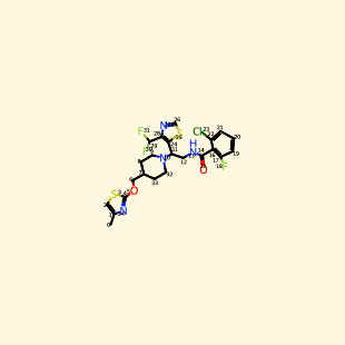 Cc1csc(OCC2CCN(C(CNC(=O)c3c(F)cccc3Cl)c3scnc3C(F)F)CC2)n1